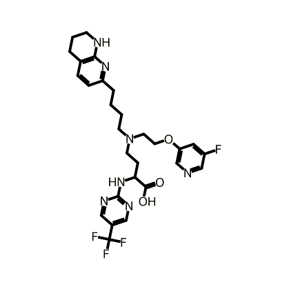 O=C(O)C(CCN(CCCCc1ccc2c(n1)NCCC2)CCOc1cncc(F)c1)Nc1ncc(C(F)(F)F)cn1